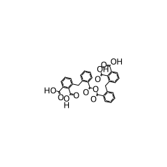 O=C(OC(=O)c1ccccc1Cc1cccc(C(=O)O)c1C(=O)O)c1ccccc1Cc1cccc(C(=O)O)c1C(=O)O